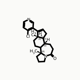 C[C@]12CCC3[C@@H](CCC(=O)N4CCC[C@]34C)[C@@H]1CC=C2c1cnccc1Cl